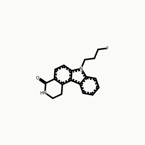 O=C1NCCc2c1ccc1c2c2ccccc2n1CCCF